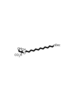 CCCCCCCCCCCCCCCCCCCCCCO[C@](C)(CO)C(=O)O